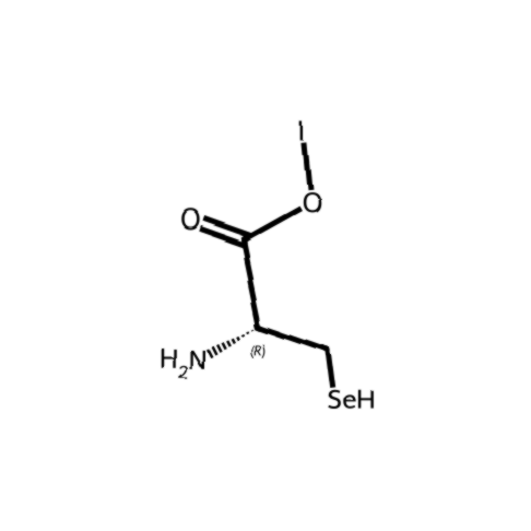 N[C@@H](C[SeH])C(=O)OI